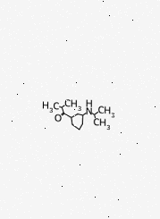 CC(C)NC1CCCC(C(=O)C(C)C)C1